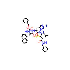 CC(C)CC(NC(=O)[C@@H](Cc1c[nH]cn1)NC(=O)[C@H](Cc1cccc2ccccc12)NC(=O)OCc1ccccc1)C(S)CC(=O)NCc1ccccc1